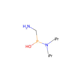 CC(C)N(C(C)C)P(O)CN